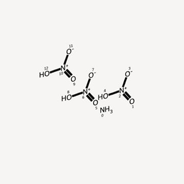 N.O=[N+]([O-])O.O=[N+]([O-])O.O=[N+]([O-])O